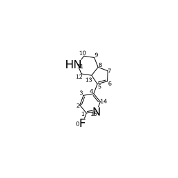 Fc1ccc(C2=CCC3CCNCC23)cn1